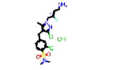 Cc1c(Cc2ccc(S(=O)(=O)N(C)C)c(Cl)c2)c(Cl)nn1C/C(F)=C/CN.Cl